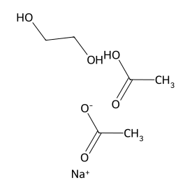 CC(=O)O.CC(=O)[O-].OCCO.[Na+]